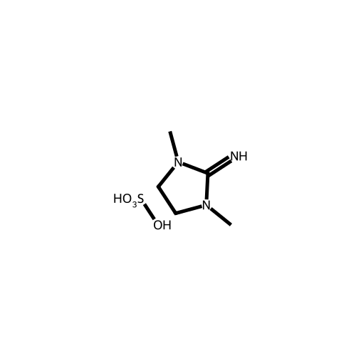 CN1CCN(C)C1=N.O=S(=O)(O)O